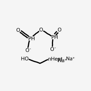 CCCCCCCCO.O=[PH]([O-])O[PH](=O)[O-].[Na+].[Na+]